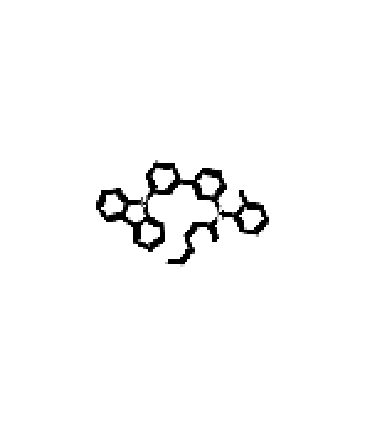 C=C(/C=C\C=C/C)N(c1cccc(-c2cccc(-n3c4ccccc4c4ccccc43)c2)c1)c1ccccc1C